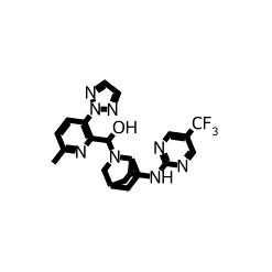 Cc1ccc(-n2nccn2)c(C(O)N2CC3CCC2C(Nc2ncc(C(F)(F)F)cn2)C3)n1